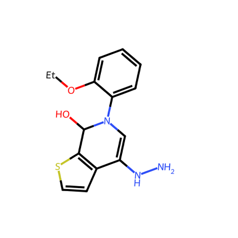 CCOc1ccccc1N1C=C(NN)c2ccsc2C1O